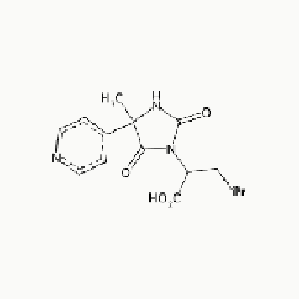 CC(C)CC(C(=O)O)N1C(=O)NC(C)(c2ccncc2)C1=O